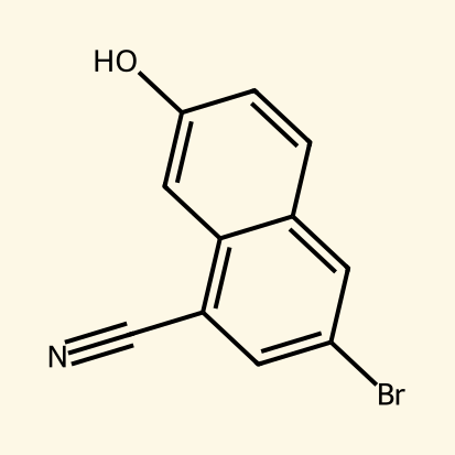 N#Cc1cc(Br)cc2ccc(O)cc12